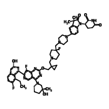 CCc1c(F)ccc2cc(O)cc(-c3ncc4c(N5CCC[C@@](C)(O)C5)nc(OCC5(CN6CCC(F)(CN7CCN(c8ccc9c(c8)C(C)(C)C(=O)N9C8CCC(=O)NC8=O)CC7)CC6)CC5)nc4c3F)c12